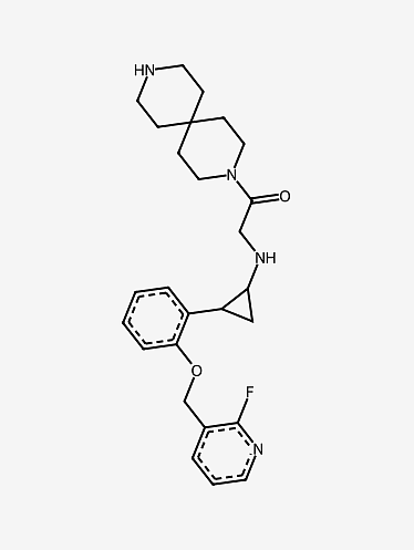 O=C(CNC1CC1c1ccccc1OCc1cccnc1F)N1CCC2(CCNCC2)CC1